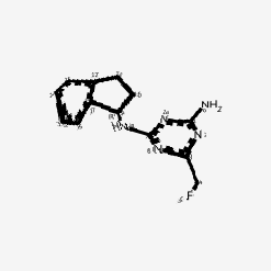 Nc1nc(CF)nc(N[C@@H]2CCc3ccccc32)n1